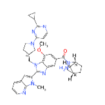 COc1cc(C(=O)N2C[C@H]3CC[C@@H]2[C@@H]3N)cc2nc(-c3cc4cccnc4n3C)n(C[C@H]3CCN(c4ccnc(C5CC5)n4)C3)c12